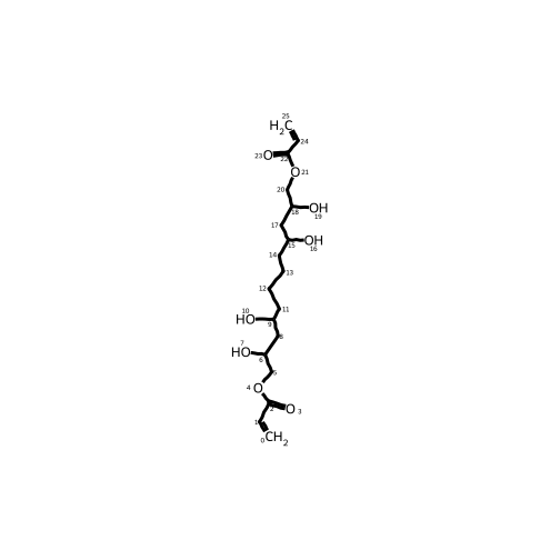 C=CC(=O)OCC(O)CC(O)CCCCC(O)CC(O)COC(=O)C=C